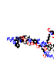 CCOCc1nc2c(N)nc3ccccc3c2n1CC(C)(C)OCCN(Cc1ccc(NC(=O)[C@H](CCCNC(N)=O)NC(=O)[C@@H](NC(=O)CCCCCN2C(=O)C=CC2=O)C(C)C)cc1)C(=O)O